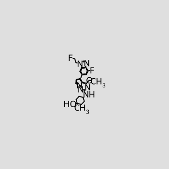 COc1nc(NC2CCC(C)(O)CC2)nn2ccc(-c3cc(F)c4ncn(CCF)c4c3)c12